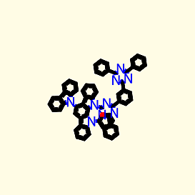 c1ccc(-c2nc(-c3ccccc3)nc(-c3cccc(-c4nc(-c5ccccc5)nc(-n5c6ccccc6c6c(-n7c8ccccc8c8ccccc87)cc7c8ccccc8n(-c8ccccc8)c7c65)n4)c3)n2)cc1